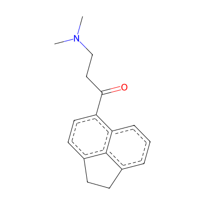 CN(C)CCC(=O)c1ccc2c3c(cccc13)CC2